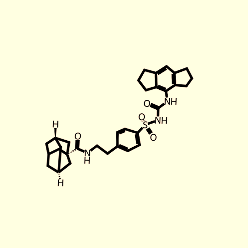 O=C(Nc1c2c(cc3c1CCC3)CCC2)NS(=O)(=O)c1ccc(CCNC(=O)[C@]23CC4C[C@@H](C[C@H](C4)C2)C3)cc1